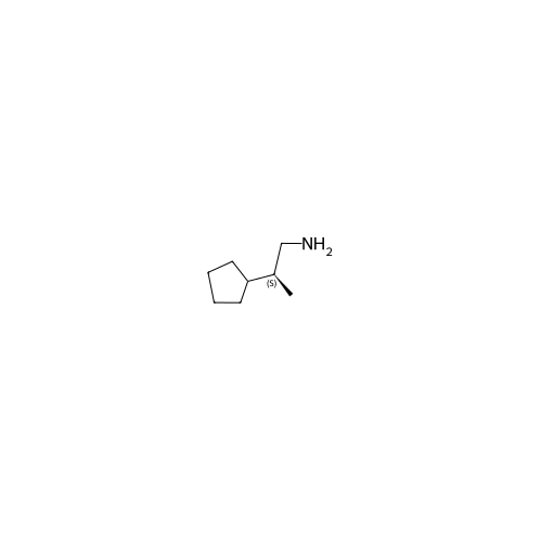 C[C@H](CN)C1CCCC1